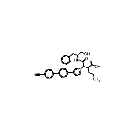 CCCC(C(=O)O)[C@H](C(=O)N[C@H](CO)Cc1ccccc1)n1ccc(-c2ccc(-c3ccc(C#N)cc3)cc2)c1